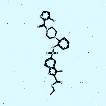 CCOC(=O)c1sc2ccc(S(=O)(=O)Nc3ccccc3N3CCN(C(=O)c4sccc4Br)CC3)cc2c1C